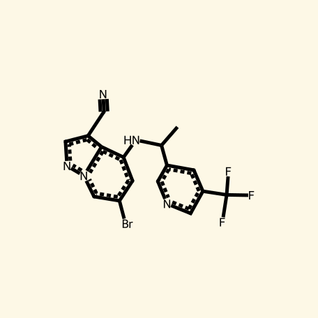 CC(Nc1cc(Br)cn2ncc(C#N)c12)c1cncc(C(F)(F)F)c1